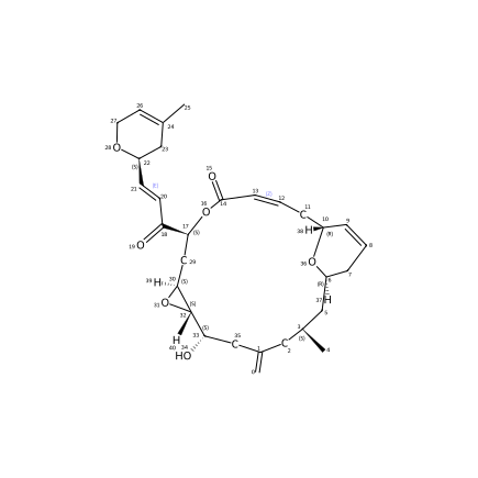 C=C1C[C@H](C)C[C@@H]2CC=C[C@@H](C/C=C\C(=O)O[C@H](C(=O)/C=C/[C@@H]3CC(C)=CCO3)C[C@@H]3O[C@H]3[C@@H](O)C1)O2